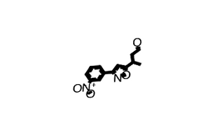 CC(CC=O)c1cc(-c2cccc([N+](=O)[O-])c2)no1